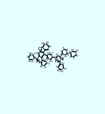 c1ccc(-c2cccc(-c3cc(-c4ccc(-c5c6c(cc7c(-c8ccccc8)nc8ccccc8c57)oc5ccccc56)cc4)nc(-c4ccccc4)n3)c2)cc1